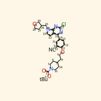 CC(C)(C)OC(=O)N1CCC(CCOc2ccc(-c3nc(Cl)nc4c3ccn4CC3CCOC3)cc2C#N)CC1